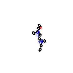 C1=CCCC(C2=NC(C3=CC(c4cccc(C5=NC(c6ccc7c(c6)oc6ccccc67)=CC(c6ccccc6)N5)c4)CC=C3)NC(c3ccc(-c4ccccc4)cc3)=N2)=C1